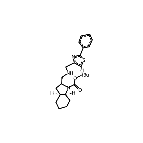 CC(C)(C)OC(=O)N1[C@H](CNCc2nc(-c3ccccc3)sc2Cl)C[C@@H]2CCCC[C@@H]21